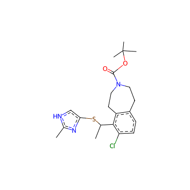 Cc1nc(SC(C)c2c(Cl)ccc3c2CCN(C(=O)OC(C)(C)C)CC3)c[nH]1